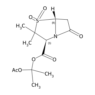 CC(=O)OC(C)(C)OC(=O)[C@@H]1N2C(=O)C[C@H]2S(=O)(=O)C1(C)C